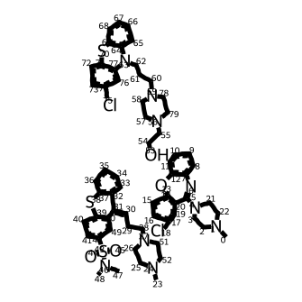 CN1CCN(C2=Nc3ccccc3Oc3ccc(Cl)cc32)CC1.CN1CCN(CC/C=C2/c3ccccc3Sc3ccc(S(=O)(=O)N(C)C)cc32)CC1.OCCN1CCN(CCCN2c3ccccc3Sc3ccc(Cl)cc32)CC1